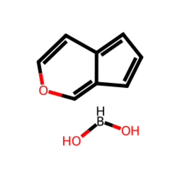 OBO.c1cc2ccocc-2c1